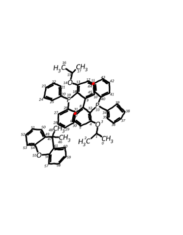 CC(C)Oc1cccc(-c2cccc(OC(C)C)c2P(c2ccccc2)c2ccccc2)c1P(c1ccccc1)c1ccccc1.CC1(C)c2ccccc2Oc2ccccc21